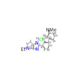 CCN1CCc2c(nc(-c3cccc(-c4cccc(NC)c4C)c3Cl)n2C)C1